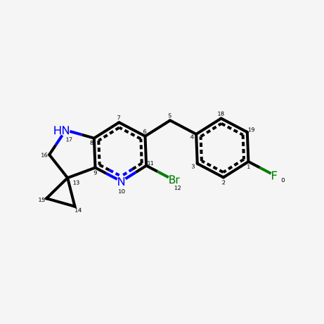 Fc1ccc(Cc2cc3c(nc2Br)C2(CC2)CN3)cc1